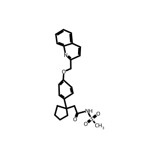 CS(=O)(=O)NC(=O)CC1(c2ccc(OCc3ccc4ccccc4n3)cc2)CCCC1